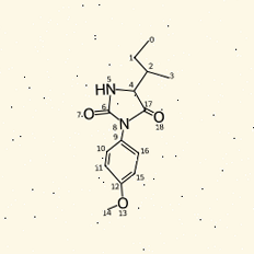 CCC(C)C1NC(=O)N(c2ccc(OC)cc2)C1=O